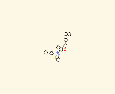 c1ccc(-c2ccc(-c3nc(-c4cc5oc6ccc(-c7ccc(-c8cccc9ccccc89)cc7)cc6c5c5ccccc45)nc4c3sc3ccccc34)cc2)cc1